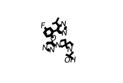 CC(C)c1ncncc1-c1cc(F)ccc1Oc1cncnc1N1CCC2(CCN(CC(C)(C)O)C2)C1